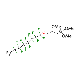 CO[Si](CCCOC(F)(F)C(F)(F)C(F)(F)C(F)(F)C(F)(F)C(F)(F)C(F)(F)C(F)(F)F)(OC)OC